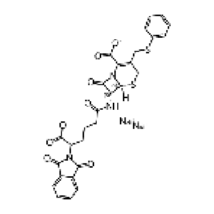 O=C(CCCC(C(=O)[O-])N1C(=O)c2ccccc2C1=O)N[C@@H]1C(=O)N2C(C(=O)[O-])=C(CSc3ccccc3)CS[C@@H]12.[Na+].[Na+]